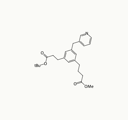 COC(=O)CCCc1cc(CCC(=O)OC(C)(C)C)cc(Cc2cccnc2)c1